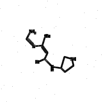 CCC(/C=C(\N=C/N)C(C)(C)C)NC1CCNC1